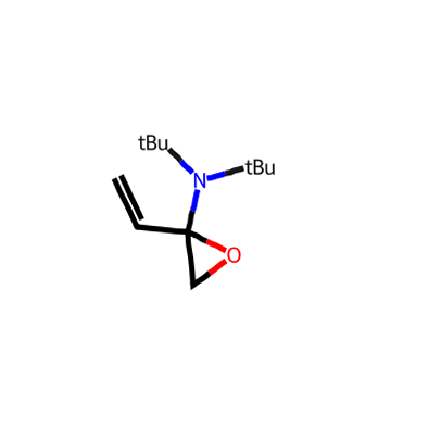 C=CC1(N(C(C)(C)C)C(C)(C)C)CO1